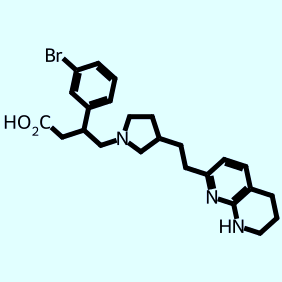 O=C(O)CC(CN1CCC(CCc2ccc3c(n2)NCCC3)C1)c1cccc(Br)c1